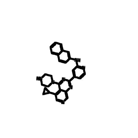 c1ccc2cc(Nc3cc(-c4nc(N5CCNCC5)c5c(C6CC6)cncc5n4)ccn3)ccc2c1